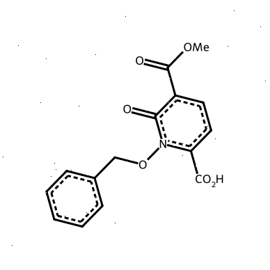 COC(=O)c1ccc(C(=O)O)n(OCc2ccccc2)c1=O